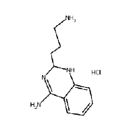 Cl.NCCCC1N=C(N)c2ccccc2N1